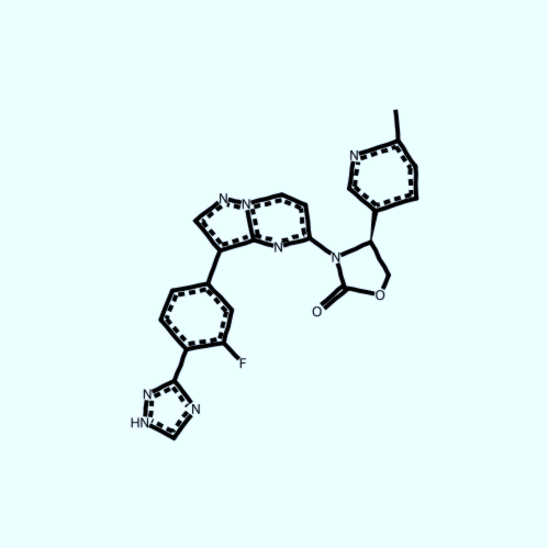 Cc1ccc([C@H]2COC(=O)N2c2ccn3ncc(-c4ccc(-c5nc[nH]n5)c(F)c4)c3n2)cn1